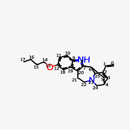 C=CC1=CC2CC3c4[nH]c5ccc(OCCCC)cc5c4CCN(C2)C13